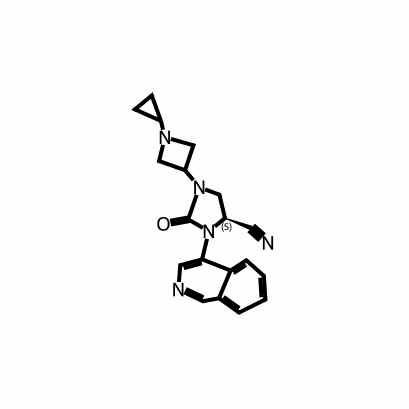 N#C[C@@H]1CN(C2CN(C3CC3)C2)C(=O)N1c1cncc2ccccc12